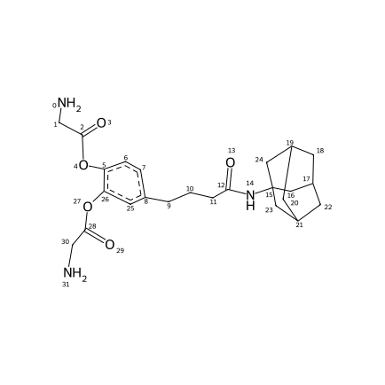 NCC(=O)Oc1ccc(CCCC(=O)NC23CC4CC(CC(C4)C2)C3)cc1OC(=O)CN